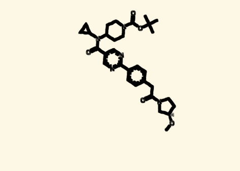 CO[C@@H]1CCN(C(=O)Cc2ccc(-c3ncc(C(=O)N(C4CC4)C4CCN(C(=O)OC(C)(C)C)CC4)cn3)cc2)C1